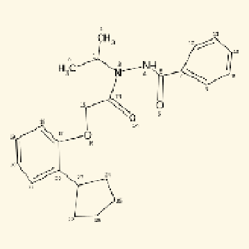 CC(C)N(NC(=O)c1ccccc1)C(=O)COc1ccccc1C1CCCC1